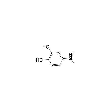 C[SiH](C)c1ccc(O)c(O)c1